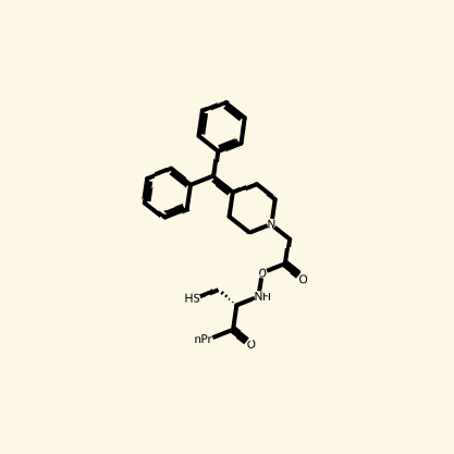 CCCC(=O)[C@H](CS)NOC(=O)CN1CCC(=C(c2ccccc2)c2ccccc2)CC1